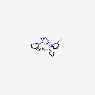 COc1ccccc1-c1cc(NC(=O)C2(c3ccc(Cl)cc3)CCC2)ncn1